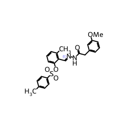 COc1cccc(CC(=O)N/N=C/c2c(C)cccc2OS(=O)(=O)c2ccc(C)cc2)c1